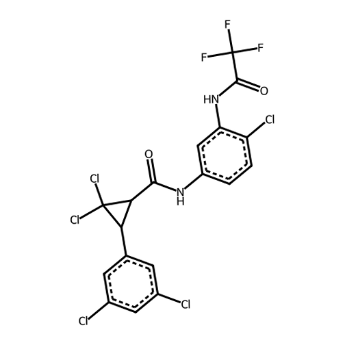 O=C(Nc1ccc(Cl)c(NC(=O)C(F)(F)F)c1)C1C(c2cc(Cl)cc(Cl)c2)C1(Cl)Cl